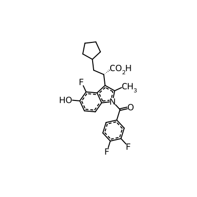 Cc1c([C@H](CC2CCCC2)C(=O)O)c2c(F)c(O)ccc2n1C(=O)c1ccc(F)c(F)c1